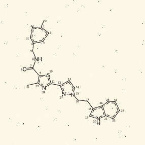 Cc1ccc(CNC(=O)c2sc(-c3ccn(CCc4c[nH]c5ccccc45)n3)nc2C)cc1